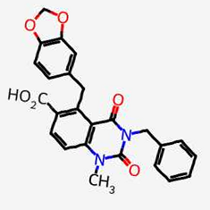 Cn1c(=O)n(Cc2ccccc2)c(=O)c2c(Cc3ccc4c(c3)OCO4)c(C(=O)O)ccc21